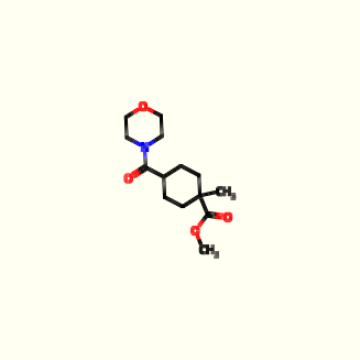 COC(=O)C1(C)CCC(C(=O)N2CCOCC2)CC1